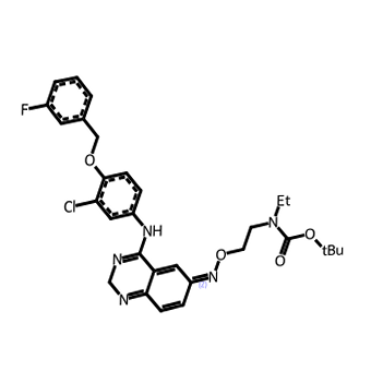 CCN(CCO/N=C1/C=CC2=NCN=C(Nc3ccc(OCc4cccc(F)c4)c(Cl)c3)C2=C1)C(=O)OC(C)(C)C